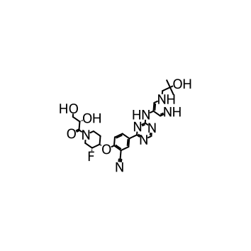 CC(C)(O)CN/C=C(\C=N)Nc1ncnc(-c2ccc(O[C@H]3CCN(C(=O)[C@@H](O)CO)C[C@H]3F)c(C#N)c2)n1